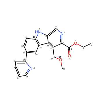 CCOC(=O)c1ncc2[nH]c3ccc(-c4ccccn4)cc3c2c1COC